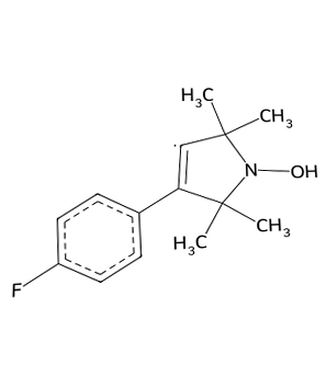 CC1(C)[C]=C(c2ccc(F)cc2)C(C)(C)N1O